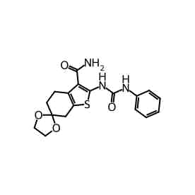 NC(=O)c1c(NC(=O)Nc2ccccc2)sc2c1CCC1(C2)OCCO1